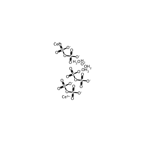 O.O.O.O.O=S(=O)([O-])OS(=O)(=O)[O-].O=S(=O)([O-])OS(=O)(=O)[O-].O=S(=O)([O-])OS(=O)(=O)[O-].[Ce+3].[Ce+3]